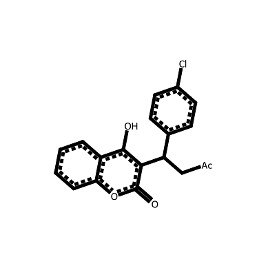 CC(=O)CC(c1ccc(Cl)cc1)c1c(O)c2ccccc2oc1=O